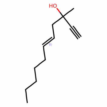 C#CC(C)(O)C/C=C/CCCCC